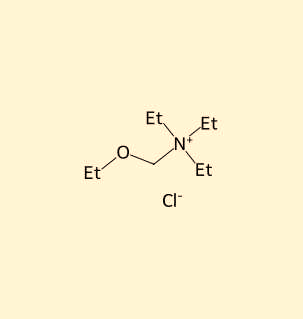 CCOC[N+](CC)(CC)CC.[Cl-]